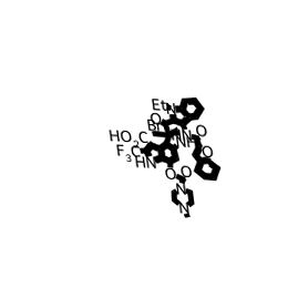 CCn1c(C(=O)C2(CBr)CNc3cc(OC(=O)N4CCN(C)CC4)c4[nH]c(C(F)(F)F)c(C(=O)O)c4c32)c(NC(=O)c2cc3ccccc3o2)c2ccccc21